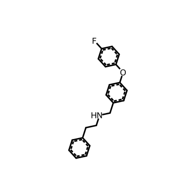 Fc1ccc(Oc2ccc(CNCCc3ccccc3)cc2)cc1